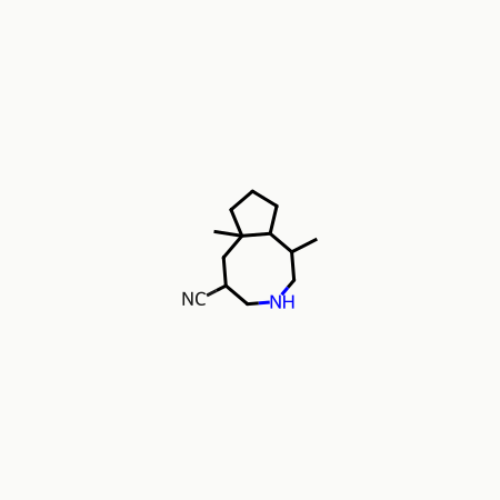 CC1CNCC(C#N)CC2(C)CCCC12